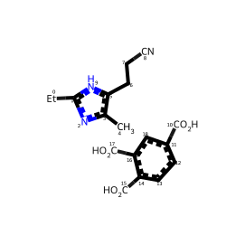 CCc1nc(C)c(CCC#N)[nH]1.O=C(O)c1ccc(C(=O)O)c(C(=O)O)c1